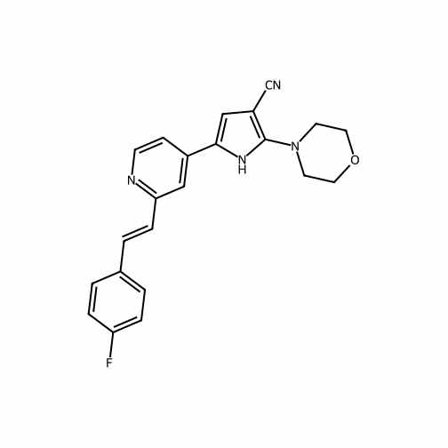 N#Cc1cc(-c2ccnc(C=Cc3ccc(F)cc3)c2)[nH]c1N1CCOCC1